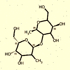 CC1C(O)[C@H](O)[C@H](CO)O[C@H]1OC1C(O)[C@H](O)C(CO)O[C@@H]1C